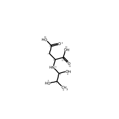 CC(O)C(O)NC(CC(=O)O)C(=O)O